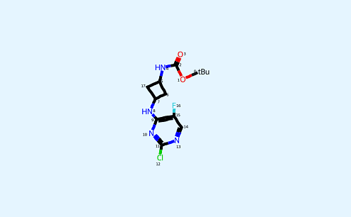 CC(C)(C)OC(=O)NC1CC(Nc2nc(Cl)ncc2F)C1